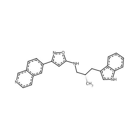 C[C@H](CNc1cc(-c2ccc3cnccc3c2)no1)Cc1c[nH]c2ccccc12